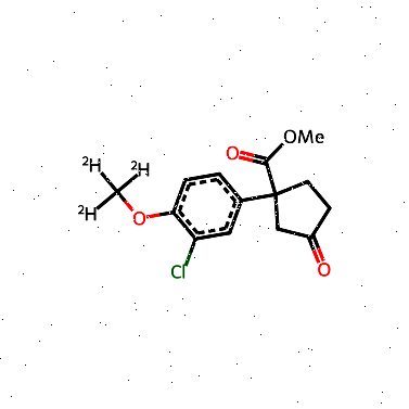 [2H]C([2H])([2H])Oc1ccc(C2(C(=O)OC)CCC(=O)C2)cc1Cl